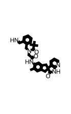 Cc1cc2c(cc1NC(=O)CN(Cc1ccccc1C=N)C(=O)C(C)(C)C)CC1(C2)C(=O)Nc2ncccc21